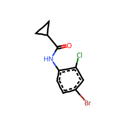 O=C(Nc1ccc(Br)cc1Cl)C1CC1